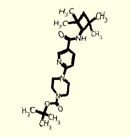 CC(C)(C)OC(=O)N1CCN(c2ccc(C(=O)NC3C(C)(C)CC3(C)C)cn2)CC1